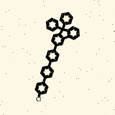 Clc1ccc(-c2ccc(-c3ccc(-c4ccc5c(c4)-c4ccccc4C5(c4ccccc4)c4ccccc4)cc3)cc2)cc1